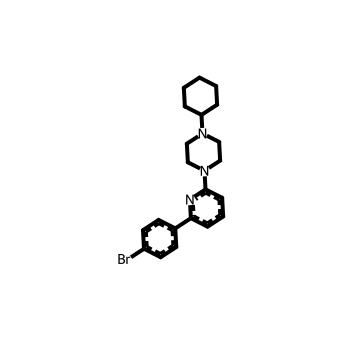 Brc1ccc(-c2cccc(N3CCN(C4CCCCC4)CC3)n2)cc1